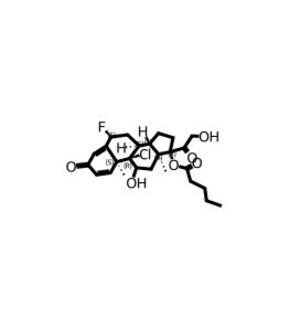 CCCCC(=O)O[C@]1(C(=O)CO)CC[C@H]2[C@@H]3C[C@H](F)C4=CC(=O)C=C[C@]4(C)[C@@]3(Cl)C(O)C[C@@]21C